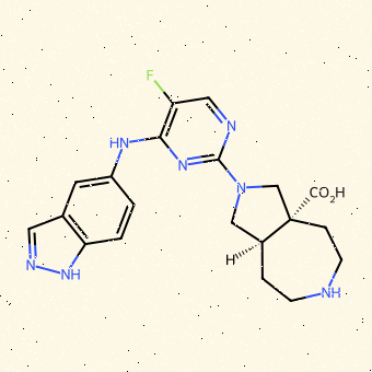 O=C(O)[C@]12CCNCC[C@H]1CN(c1ncc(F)c(Nc3ccc4[nH]ncc4c3)n1)C2